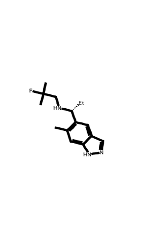 CC[C@@H](NCC(C)(C)F)c1cc2cn[nH]c2cc1C